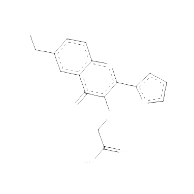 CCc1ccc2oc(-c3ccco3)c(OCC(=O)O)c(=O)c2c1